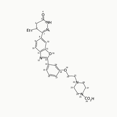 CCC1CC(=O)NN=C1c1ccc2nc(-c3cccc(OCCN4CCN(C(=O)O)CC4)c3)oc2c1